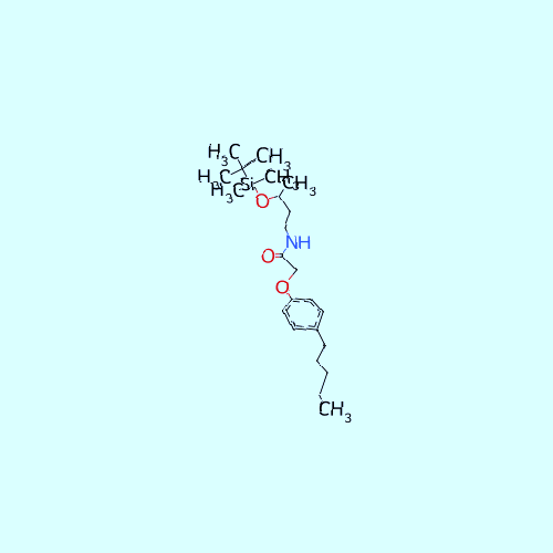 CCCCCc1ccc(OCC(=O)NCCC(C)O[Si](C)(C)C(C)(C)C)cc1